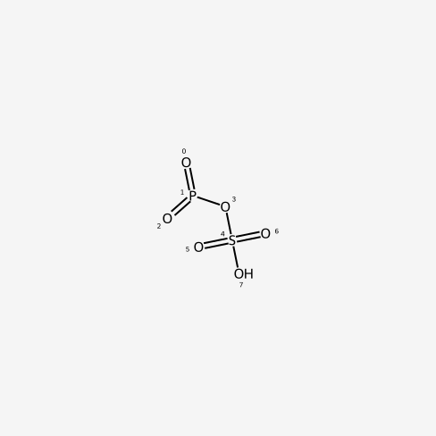 O=P(=O)OS(=O)(=O)O